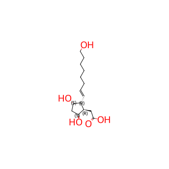 O=C(O)C[C@@H]1[C@@H](C=CCCCCCCO)[C@@H](O)C[C@@H]1O